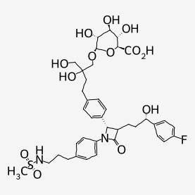 CS(=O)(=O)NCCCc1ccc(N2C(=O)C(CC[C@H](O)c3ccc(F)cc3)[C@H]2c2ccc(CCC(O)(CO)CO[C@@H]3O[C@H](C(=O)O)[C@@H](O)[C@H](O)[C@H]3O)cc2)cc1